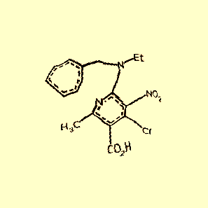 CCN(Cc1ccccc1)c1nc(C)c(C(=O)O)c(Cl)c1[N+](=O)[O-]